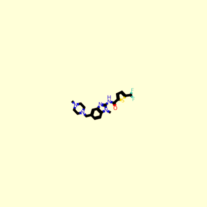 CN1CCN(Cc2ccc3c(c2)nc(NC(=O)c2ccc(C(F)F)s2)n3C)CC1